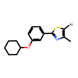 CC(=O)c1sc(-c2cccc(OC3CCCCC3)c2)nc1C